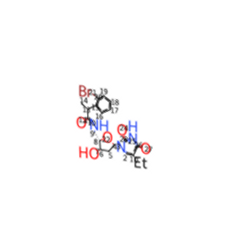 CCc1cn([C@@H]2CC(O)[C@H](CNC(=O)[C@@H](C)c3ccccc3Br)O2)c(=O)[nH]c1=O